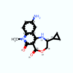 Cn1c(=O)c2c(c3cc(N)ccc31)NC(C1CC1)COC2=O